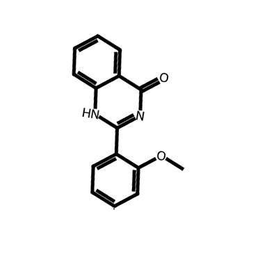 COc1c[c]ccc1-c1nc(=O)c2ccccc2[nH]1